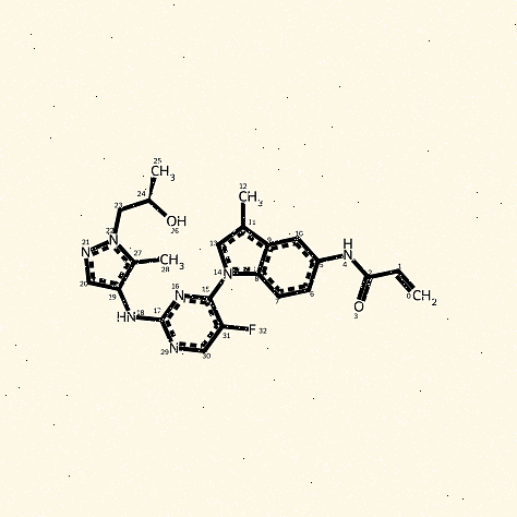 C=CC(=O)Nc1ccc2c(c1)c(C)cn2-c1nc(Nc2cnn(C[C@@H](C)O)c2C)ncc1F